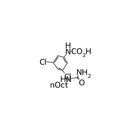 CCCCCCCCNC(N)=O.O=C(O)Nc1cc(Cl)cc(Cl)c1